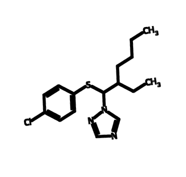 CCCCC(CC)C(Sc1ccc(Cl)cc1)n1cncn1